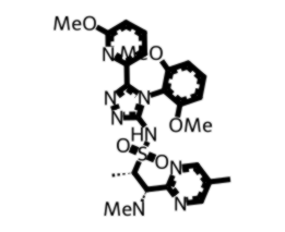 CN[C@@H](c1ncc(C)cn1)[C@H](C)S(=O)(=O)Nc1nnc(-c2cccc(OC)n2)n1-c1c(OC)cccc1OC